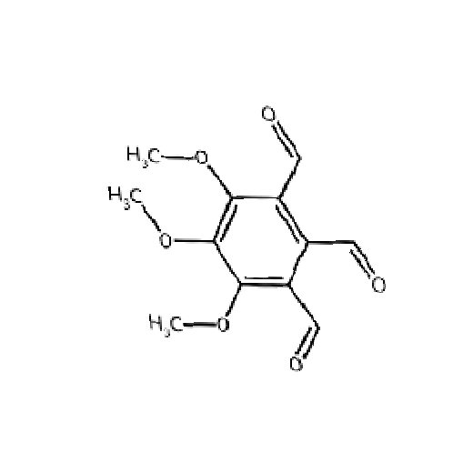 COc1c(C=O)c(C=O)c(C=O)c(OC)c1OC